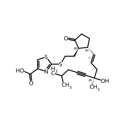 CC(C)CC#C[C@](C)(O)C/C=C/[C@H]1CCC(=O)[C@@H]1CCSc1nc(C(=O)O)cs1